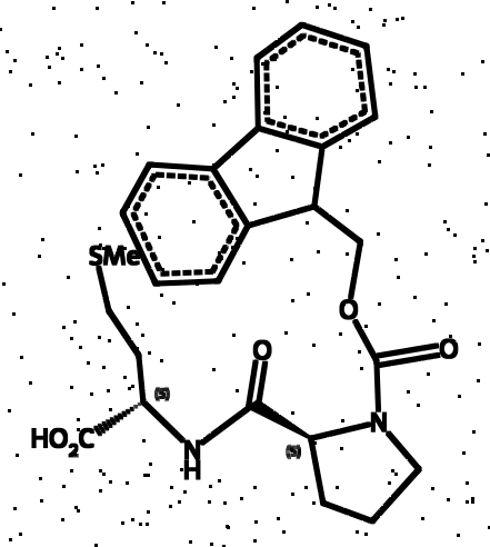 CSCC[C@H](NC(=O)[C@@H]1CCCN1C(=O)OCC1c2ccccc2-c2ccccc21)C(=O)O